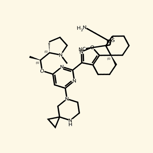 C[C@H](Oc1cc(N2CCNC3(CC3)C2)nc(-c2noc3c2CCC[C@@]32CCCc3sc(N)c(C#N)c32)n1)[C@@H]1CCCN1C